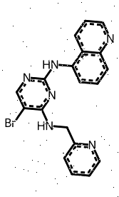 Brc1cnc(Nc2cccc3ncccc23)nc1NCc1ccccn1